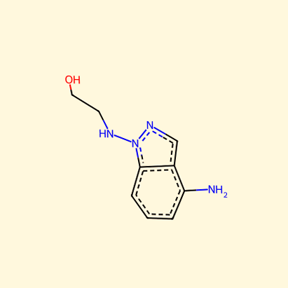 Nc1cccc2c1cnn2NCCO